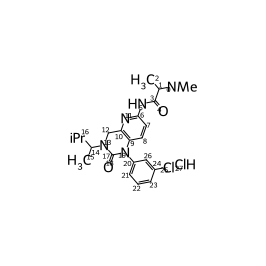 CNC(C)C(=O)Nc1ccc2c(n1)CN(C(C)C(C)C)C(=O)N2c1cccc(Cl)c1.Cl